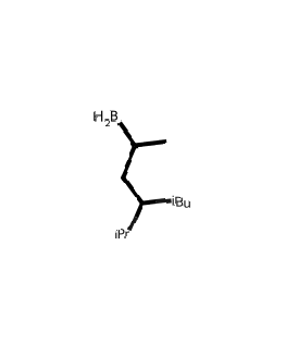 BC(C)CC(C(C)C)C(C)CC